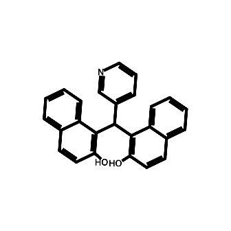 Oc1ccc2ccccc2c1C(c1cccnc1)c1c(O)ccc2ccccc12